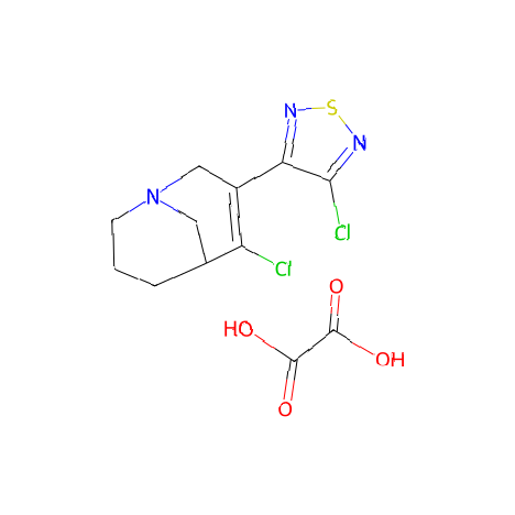 ClC1=C(c2nsnc2Cl)CN2CCCC1C2.O=C(O)C(=O)O